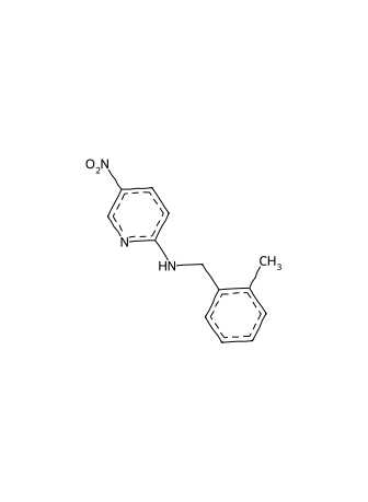 Cc1ccccc1CNc1ccc([N+](=O)[O-])cn1